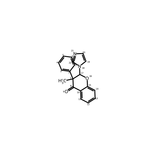 CC1(c2ccccc2)C(=O)c2ccccc2OC1n1ccnc1